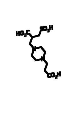 O=C(O)CCN1CCN(CC(CS(=O)(=O)O)C(=O)O)CC1